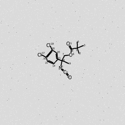 CC(C)(C)C(=O)OCC(C)(N=C=O)c1ccc(Cl)c(Cl)c1